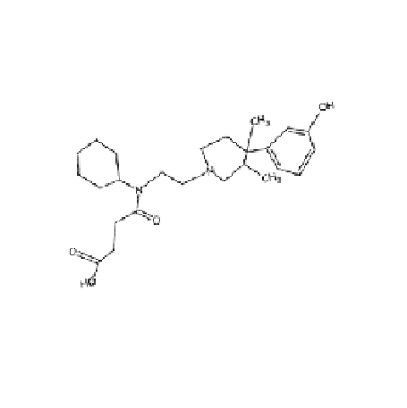 CC1CN(CCN(C(=O)CCC(=O)O)C2CCCCC2)CCC1(C)c1cccc(O)c1